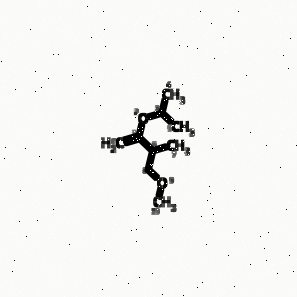 C=C(OC(C)C)C(C)COC